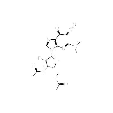 CC(=O)OC[C@H]1O[C@@H](n2cnc(C(=O)C=[N+]=[N-])c2N=CN(C)C)[C@H](F)[C@@H]1OC(C)=O